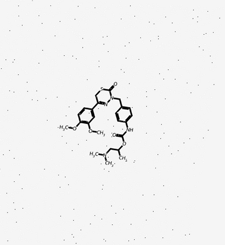 COc1ccc(C2=NN(Cc3ccc(NC(=O)OC(C)CN(C)C)cc3)C(=O)SC2)cc1OC